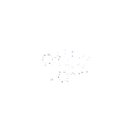 N#CC1(N(C(=O)[C@@H]2C[C@@H](S(=O)(=O)c3ccccc3Cl)CN2)C(=O)C2(c3ccc(F)cc3)CC2)CC1